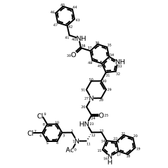 CC(=O)N(Cc1ccc(Cl)c(Cl)c1)C[C@@H](Cc1c[nH]c2ccccc12)NC(=O)CN1CC=C(c2c[nH]c3ccc(C(=O)NCc4ccccc4)cc23)CC1